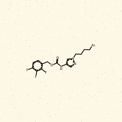 CC(=O)CCCCn1cc(NC(=O)OCc2ccc(F)c(F)c2F)cn1